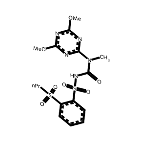 CCCS(=O)(=O)c1ccccc1S(=O)(=O)NC(=O)N(C)c1nc(OC)nc(OC)n1